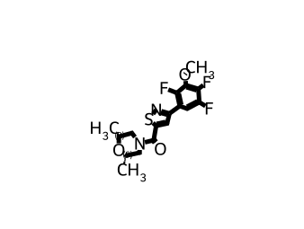 COc1c(F)c(F)cc(-c2cc(C(=O)N3C[C@@H](C)O[C@@H](C)C3)sn2)c1F